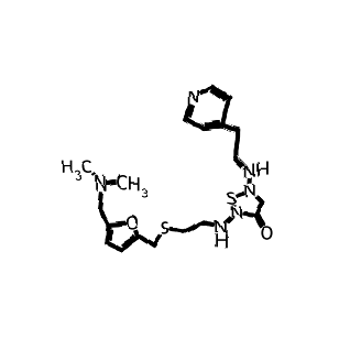 CN(C)Cc1ccc(CSCCNN2SN(NCCc3ccncc3)CC2=O)o1